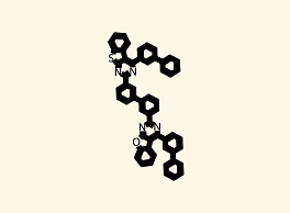 c1ccc(-c2cccc(-c3nc(-c4cccc(-c5cccc(-c6nc(-c7cccc(-c8ccccc8)c7)c7c(n6)sc6ccccc67)c5)c4)nc4oc5ccccc5c34)c2)cc1